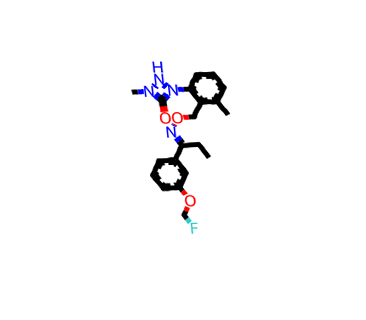 CC/C(=N\OCc1c(C)cccc1-n1[nH]n(C)c1=O)c1cccc(OCF)c1